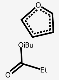 CCC(=O)OCC(C)C.c1ccoc1